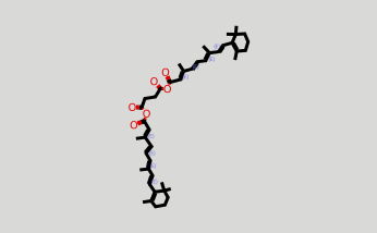 CC1=C(/C=C/C(C)=C/C=C/C(C)=C/C(=O)OC(=O)CCC(=O)OC(=O)/C=C(C)/C=C/C=C(C)/C=C/C2=C(C)CCCC2(C)C)C(C)(C)CCC1